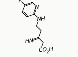 N=C(CCNc1ccc(F)cn1)CC(=O)O